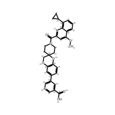 COc1cc(C(=O)N2CCC3(CC2)COc2cc(-c4cncc(C(=O)O)c4)ccc2O3)nc2c(C3CC3)cccc12